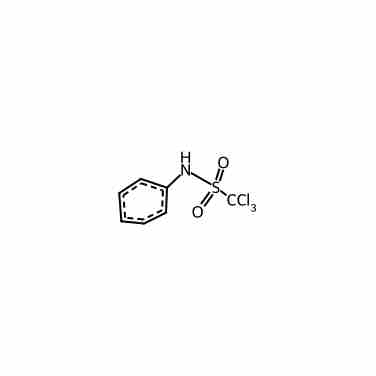 O=S(=O)(Nc1ccccc1)C(Cl)(Cl)Cl